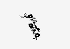 CC(C)CCN(C(=O)CNC(=O)Nc1cccc(CC(=O)O)c1)c1ccccc1OCC(=O)N(C)c1cccc(N(C)C)c1